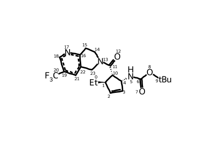 CC[C@@H]1C=C[C@@H](NC(=O)OC(C)(C)C)[C@H]1C(=O)N1CCc2ncc(C(F)(F)F)cc2C1